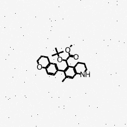 COC(=O)C(OC(C)(C)C)c1c2c(cc(C)c1-c1ccc3c(c1)CCCO3)NCCC2